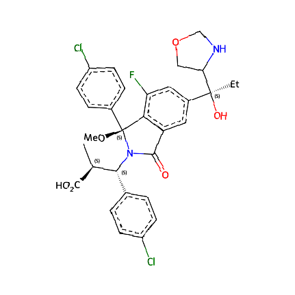 CC[C@](O)(c1cc(F)c2c(c1)C(=O)N([C@H](c1ccc(Cl)cc1)[C@H](C)C(=O)O)[C@]2(OC)c1ccc(Cl)cc1)C1COCN1